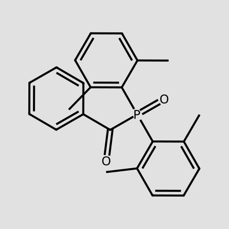 Cc1cccc(C)c1P(=O)(C(=O)c1ccccc1)c1c(C)cccc1C